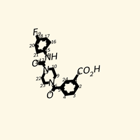 O=C(O)c1cccc(C(=O)N2CCN(C(=O)Nc3ccc(F)cc3)CC2)c1